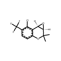 CC1(C)Oc2ccc(C(F)(F)F)c(Cl)c2[C@H]2O[C@H]21